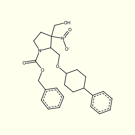 O=C(OCc1ccccc1)N1CCC(CO)([N+](=O)[O-])C1COC1CCC(c2ccccc2)CC1